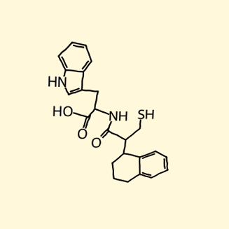 O=C(O)C(Cc1c[nH]c2ccccc12)NC(=O)C(CS)C1CCCc2ccccc21